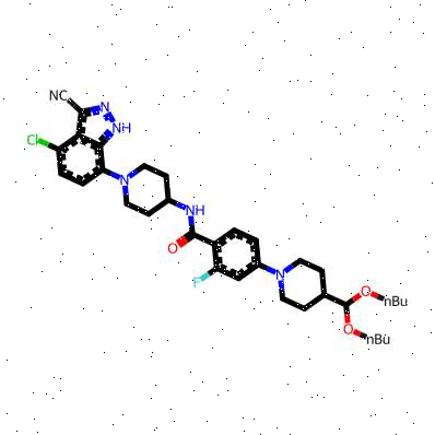 CCCCOC(OCCCC)C1CCN(c2ccc(C(=O)NC3CCN(c4ccc(Cl)c5c(C#N)n[nH]c45)CC3)c(F)c2)CC1